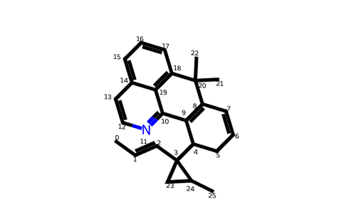 CC=CC1(C2CC=CC3=C2c2nccc4cccc(c24)C3(C)C)CC1C